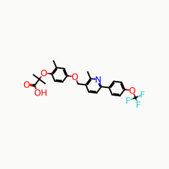 Cc1cc(OCc2ccc(-c3ccc(OC(F)(F)F)cc3)nc2C)ccc1OC(C)(C)C(=O)O